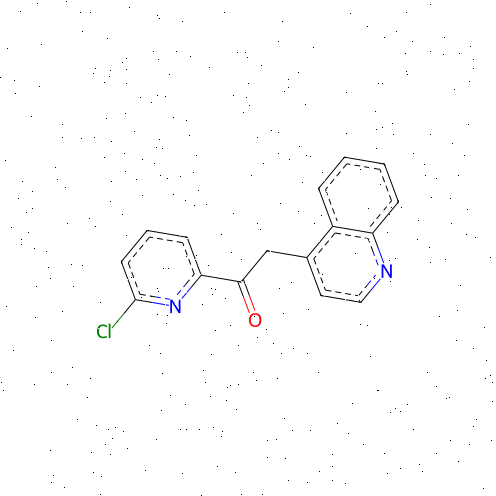 O=C(Cc1ccnc2ccccc12)c1cccc(Cl)n1